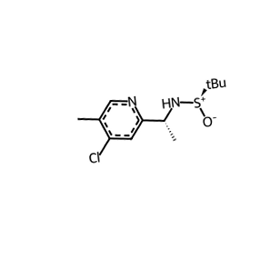 Cc1cnc([C@@H](C)N[S@+]([O-])C(C)(C)C)cc1Cl